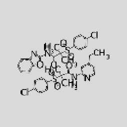 CC(C)(C(=O)Nc1nc2ccccc2o1)S(=O)(=O)c1ccc(Cl)cc1.CCc1ccnc(NC(=O)C(C)(C)S(=O)(=O)c2ccc(Cl)cc2)c1